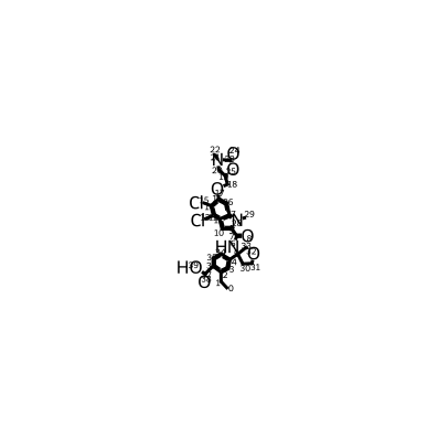 CCc1cc(C2(NC(=O)c3cc4c(Cl)c(Cl)c(OCC5CN(C)C(=O)O5)cc4n3C)CCOC2)ccc1C(=O)O